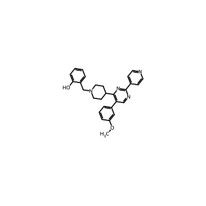 COc1cccc(-c2cnc(-c3ccncc3)nc2C2CCN(Cc3ccccc3O)CC2)c1